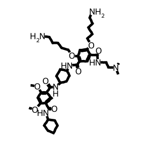 COc1cc(OC)c(C(=O)NC2CCC(NC(=O)c3cc(C(=O)NCCN(C)C)c(OCCCCCN)cc3OCCCCCN)CC2)cc1C(=O)NC1CCCCC1